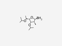 B[C@@H]1O[C@H](C(C)OC(C)C)C(OC(C)C)[C@@H]1C